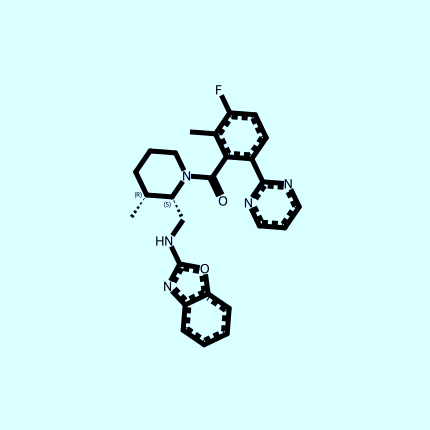 Cc1c(F)ccc(-c2ncccn2)c1C(=O)N1CCC[C@@H](C)[C@H]1CNc1nc2ccccc2o1